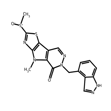 Cn1c2nc([S+](C)[O-])sc2c2cnn(Cc3cccc4[nH]ncc34)c(=O)c21